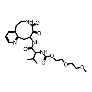 COCCOCCOC(=O)NC(C(=O)NC1Cc2ncccc2CCNC(=O)C1=O)C(C)C